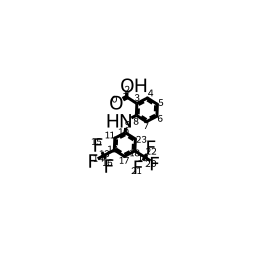 O=C(O)c1ccccc1Nc1cc(C(F)(F)F)cc(C(F)(F)F)c1